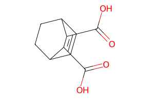 O=C(O)C1=C(C(=O)O)C2C=CC1CC2